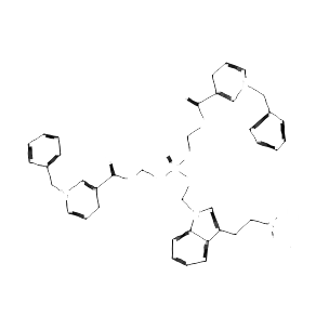 CN(C)CCc1cn(COP(=O)(OCOC(=O)C2=CN(Cc3ccccc3)C=CC2)OCOC(=O)C2=CN(Cc3ccccc3)C=CC2)c2ccccc12